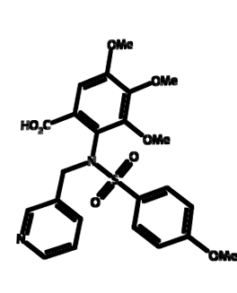 COc1ccc(S(=O)(=O)N(Cc2cccnc2)c2c(C(=O)O)cc(OC)c(OC)c2OC)cc1